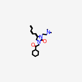 C=C/C=C\C=C1/CN(CC(=O)C2CCCCC2)C(=O)N1CCN(C)C